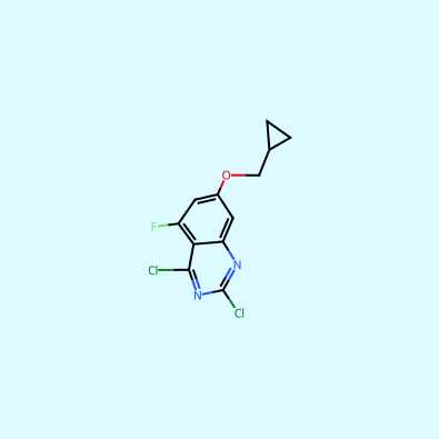 Fc1cc(OCC2CC2)cc2nc(Cl)nc(Cl)c12